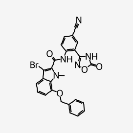 Cn1c(C(=O)Nc2ccc(C#N)cc2-c2noc(=O)[nH]2)c(Br)c2cccc(OCc3ccccc3)c21